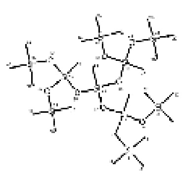 C[Si](C)(C)C[Si](C)(O[Si](C)(C)C)O[Si](C)(O[Si](C)(O[Si](C)(C)C)O[Si](C)(C)C)O[Si](C)(O[Si](C)(C)C)O[Si](C)(C)C